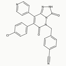 N#Cc1ccc(Cn2c(=O)c(-c3ccc(Cl)cc3)c(-c3ccncc3)c3n[nH]c(=O)n32)cc1